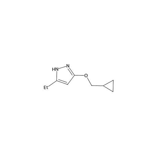 CCc1cc(OCC2CC2)n[nH]1